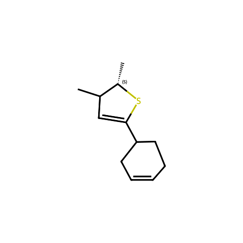 CC1C=C(C2CC=CCC2)S[C@H]1C